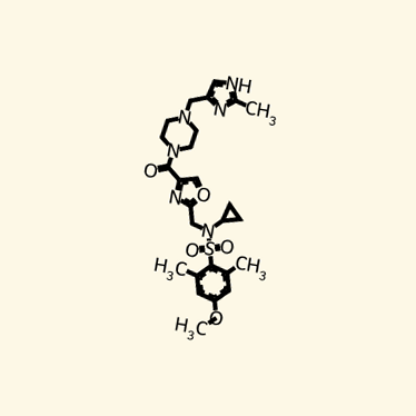 COc1cc(C)c(S(=O)(=O)N(Cc2nc(C(=O)N3CCN(Cc4c[nH]c(C)n4)CC3)co2)C2CC2)c(C)c1